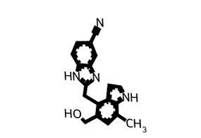 Cc1cc(CO)c(Cc2nc3cc(C#N)ccc3[nH]2)c2cc[nH]c12